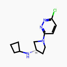 Clc1ccc(N2CC[C@H](NC3CCC3)C2)nn1